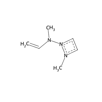 C=CN(C)n1ccn1C